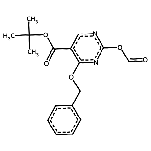 CC(C)(C)OC(=O)c1cnc(OC=O)nc1OCc1ccccc1